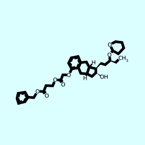 CC[C@@H](CC[C@@H]1[C@H]2Cc3cccc(OCC(=O)OCCC(=O)OCc4ccccc4)c3C[C@H]2C[C@H]1O)OC1CCCCO1